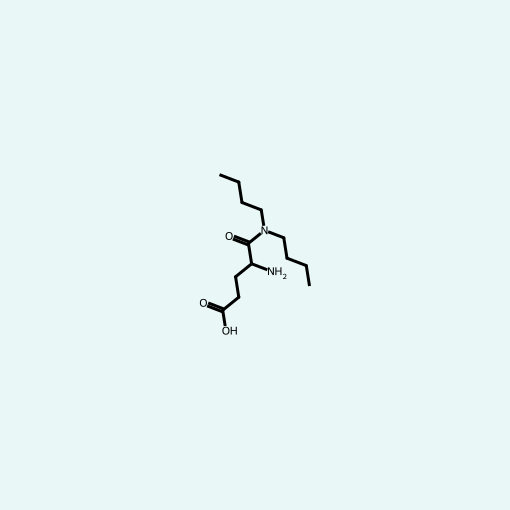 CCCCN(CCCC)C(=O)C(N)CCC(=O)O